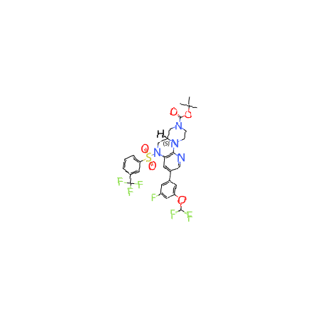 CC(C)(C)OC(=O)N1CCN2c3ncc(-c4cc(F)cc(OC(F)F)c4)cc3N(S(=O)(=O)c3cccc(C(F)(F)F)c3)C[C@@H]2C1